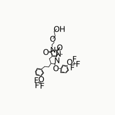 Cn1c2c(c(=O)n(CCOCCO)c1=O)CC(CCc1cccc(OC(F)(F)F)c1)C(Oc1cccc(OC(F)(F)F)c1)=N2